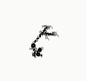 COc1ccc2c(c1)C(c1ccc(Cl)cc1)=N[C@@H](CC(=O)Nc1ccc(OCCOCCOCCNC(=O)[C@H](CCCNC(=N)N)NC(=O)[C@@H](N)CCCNC(=N)N)cc1)c1nnc(C)n1-2